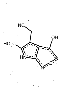 N#CCc1c(C(=O)O)[nH]c2nccc(O)c12